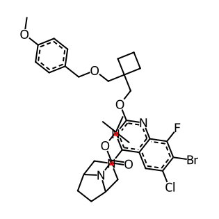 COc1ccc(COCC2(COc3nc(N4CC5CCC(C4)N5C(=O)OC(C)(C)C)c4cc(Cl)c(Br)c(F)c4n3)CCC2)cc1